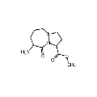 COC(=O)C1CCN2CCCC(N)C(=O)N12